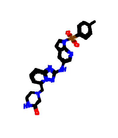 Cc1ccc(S(=O)(=O)n2ccc3cc(Nc4nc5cccc(CN6CCNC(=O)C6)n5n4)cnc32)cc1